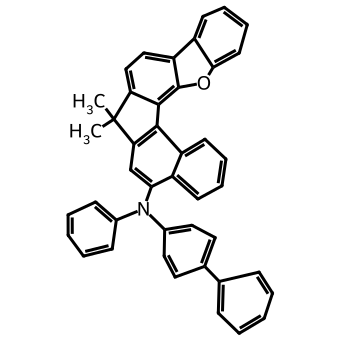 CC1(C)c2cc(N(c3ccccc3)c3ccc(-c4ccccc4)cc3)c3ccccc3c2-c2c1ccc1c2oc2ccccc21